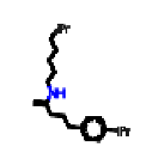 C=C(CCCc1ccc(C(C)C)cc1)NCCCCCC(C)C